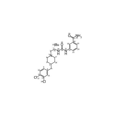 CC(C)(C)[C@@H](CN1CCC(Cc2ccc(Cl)c(Cl)c2)CC1)NC(=O)Nc1cccc(C(N)=O)c1